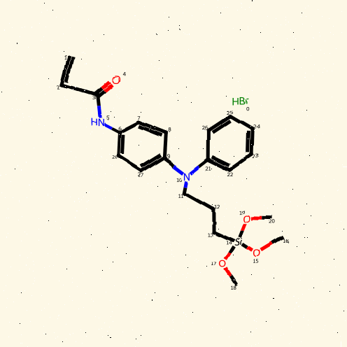 Br.C=CC(=O)Nc1ccc(N(CCC[Si](OC)(OC)OC)c2ccccc2)cc1